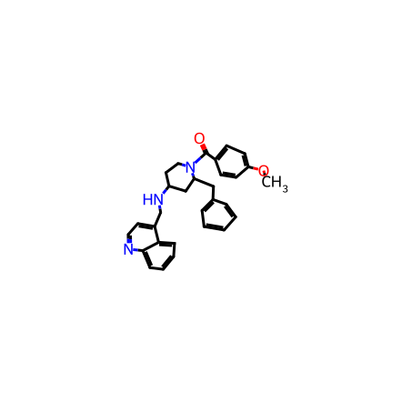 COc1ccc(C(=O)N2CCC(NCc3ccnc4ccccc34)CC2Cc2ccccc2)cc1